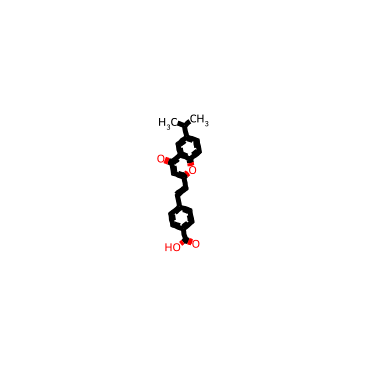 CC(C)c1ccc2oc(C=Cc3ccc(C(=O)O)cc3)cc(=O)c2c1